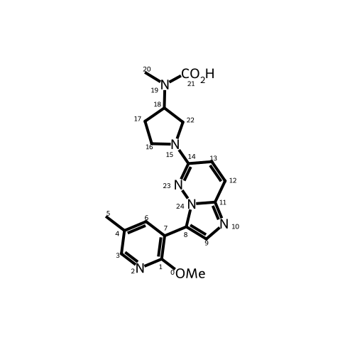 COc1ncc(C)cc1-c1cnc2ccc(N3CCC(N(C)C(=O)O)C3)nn12